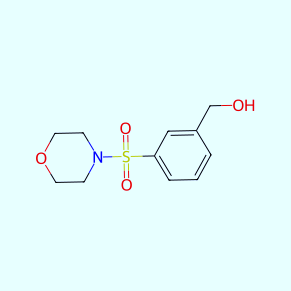 O=S(=O)(c1cccc(CO)c1)N1CCOCC1